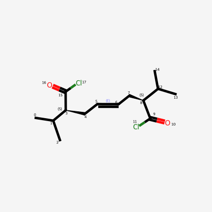 CC(C)[C@H](C/C=C/C[C@H](C(=O)Cl)C(C)C)C(=O)Cl